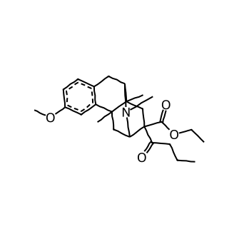 CCCC(=O)C1(C(=O)OCC)CC2(C)C3Cc4ccc(OC)cc4C2(C)CC1N3C